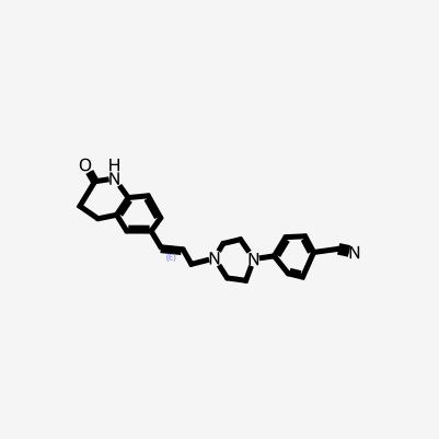 N#Cc1ccc(N2CCN(C/C=C/c3ccc4c(c3)CCC(=O)N4)CC2)cc1